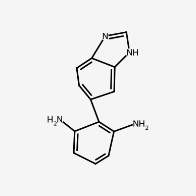 Nc1cccc(N)c1-c1ccc2nc[nH]c2c1